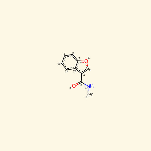 CC(C)NC(=O)c1coc2ccccc12